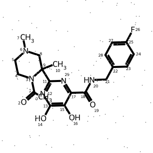 CC(=O)N1CCN(C)CC1(C)c1nc(O)c(O)c(C(=O)NCc2ccc(F)cc2)n1